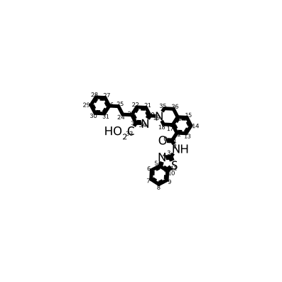 O=C(Nc1nc2ccccc2s1)c1cccc2c1CN(c1ccc(CCc3ccccc3)c(C(=O)O)n1)CC2